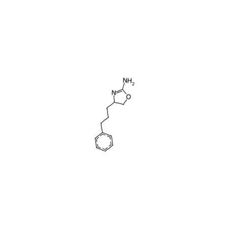 NC1=NC(CCCc2ccccc2)CO1